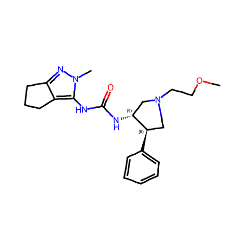 COCCN1C[C@@H](NC(=O)Nc2c3c(nn2C)CCC3)[C@H](c2ccccc2)C1